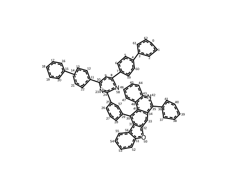 c1ccc(-c2ccc(-c3cc(-c4ccc(-c5ccccc5)cc4)nc(-c4cccc(-c5c6c(cc7c(-c8ccccc8)nc8ccccc8c57)oc5ccccc56)c4)n3)cc2)cc1